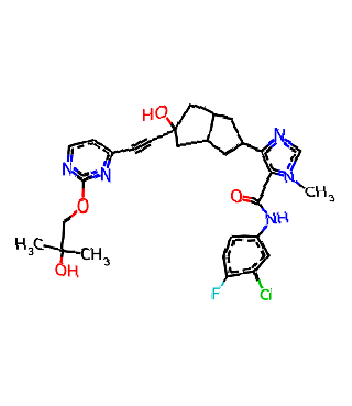 Cn1cnc(C2CC3CC(O)(C#Cc4ccnc(OCC(C)(C)O)n4)CC3C2)c1C(=O)Nc1ccc(F)c(Cl)c1